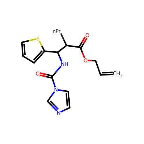 C=CCOC(=O)C(CCC)C(NC(=O)n1ccnc1)c1cccs1